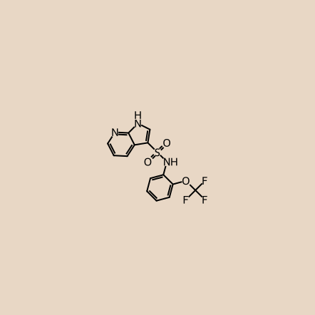 O=S(=O)(Nc1ccccc1OC(F)(F)F)c1c[nH]c2ncccc12